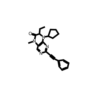 CCC1C(=O)N(C)c2cnc(C#Cc3ccccc3)nc2N1C1CCCC1